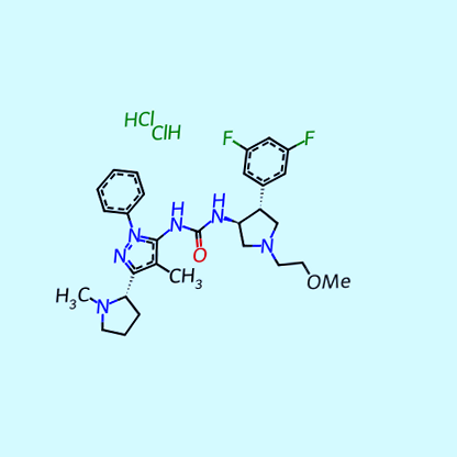 COCCN1C[C@@H](NC(=O)Nc2c(C)c([C@@H]3CCCN3C)nn2-c2ccccc2)[C@H](c2cc(F)cc(F)c2)C1.Cl.Cl